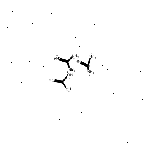 N=C(N)N.N=C(N)N.O=C(O)O